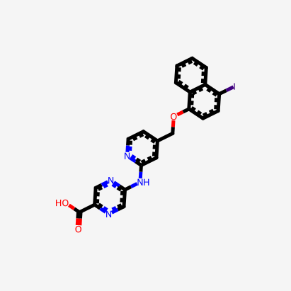 O=C(O)c1cnc(Nc2cc(COc3ccc(I)c4ccccc34)ccn2)cn1